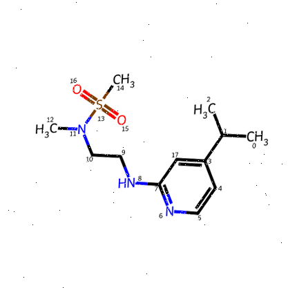 CC(C)c1ccnc(NCCN(C)S(C)(=O)=O)c1